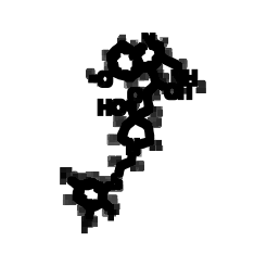 COc1ccc2ncc(CN)c(C(O)CCC3(C(=O)O)CCN(CCSc4cc(F)cc(F)c4F)CC3)c2c1